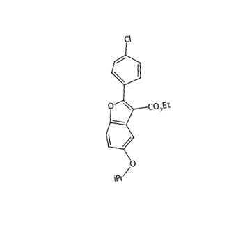 CCOC(=O)c1c(-c2ccc(Cl)cc2)oc2ccc(OC(C)C)cc12